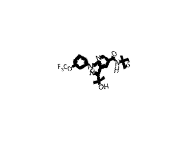 CC1(NC(=O)c2cnc3c(c2)c(C(C)(C)O)nn3-c2cccc(OC(F)(F)F)c2)CSC1